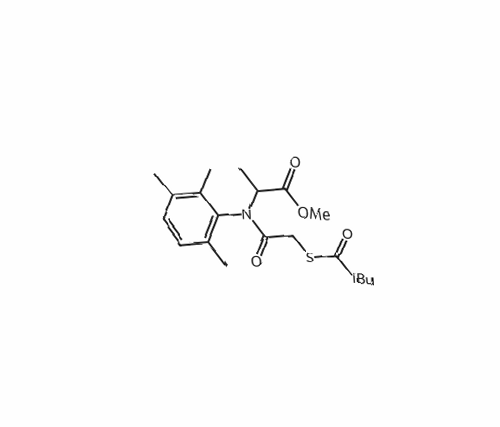 CCC(C)C(=O)SCC(=O)N(c1c(C)ccc(C)c1C)C(C)C(=O)OC